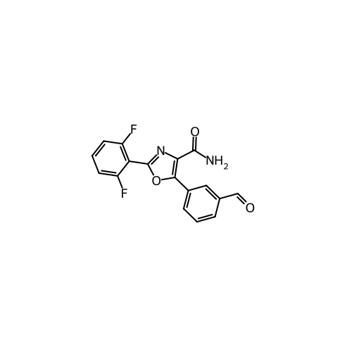 NC(=O)c1nc(-c2c(F)cccc2F)oc1-c1cccc(C=O)c1